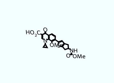 COC(=O)NC1Cc2cc(-c3ccc4c(=O)c(C(=O)O)cn(C5CC5)c4c3OC)sc2C1